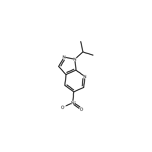 CC(C)n1ncc2cc([N+](=O)[O-])cnc21